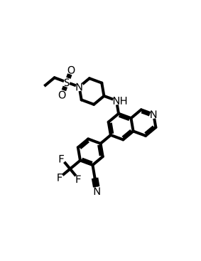 CCS(=O)(=O)N1CCC(Nc2cc(-c3ccc(C(F)(F)F)c(C#N)c3)cc3ccncc23)CC1